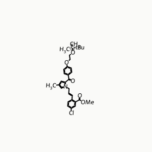 COC(=O)c1cc(Cl)ccc1C=CCn1cc(C)cc1C(=O)c1ccc(OCCO[Si](C)(C)C(C)(C)C)cc1